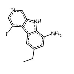 CCc1cc(N)c2[nH]c3cncc(F)c3c2c1